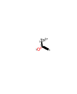 C=[CH][Zn+2].[O-2]